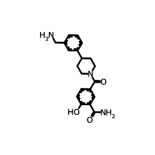 NCc1cccc(C2CCN(C(=O)c3ccc(O)c(C(N)=O)c3)CC2)c1